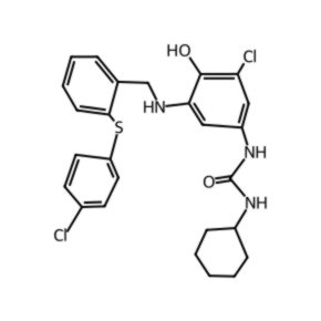 O=C(Nc1cc(Cl)c(O)c(NCc2ccccc2Sc2ccc(Cl)cc2)c1)NC1CCCCC1